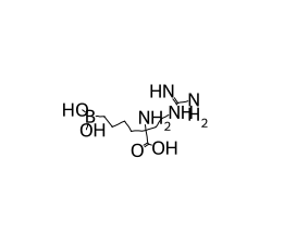 N=C(N)NCCC(N)(CCCCB(O)O)C(=O)O